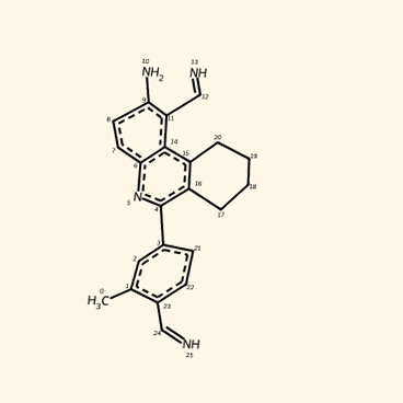 Cc1cc(-c2nc3ccc(N)c(C=N)c3c3c2CCCC3)ccc1C=N